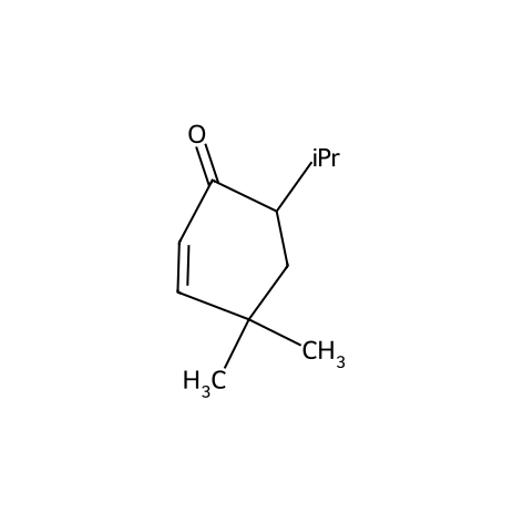 CC(C)C1CC(C)(C)C=CC1=O